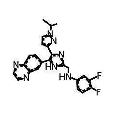 CC(C)n1ccc(-c2nc(CNc3ccc(F)c(F)c3)[nH]c2-c2ccc3nccnc3c2)n1